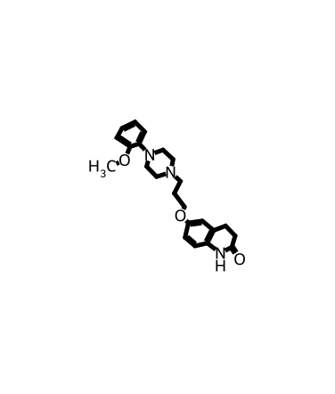 COc1ccccc1N1CCN(CCCOc2ccc3c(c2)CCC(=O)N3)CC1